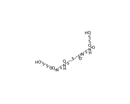 O=C(NCSC/N=C/[S+]([O-])CCSCCSC(=O)NCSC/N=C\OOCSCSCO)OCSCSCO